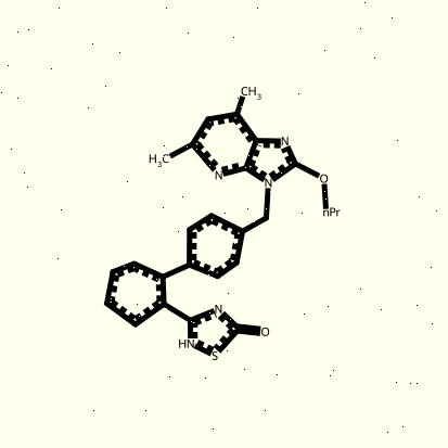 CCCOc1nc2c(C)cc(C)nc2n1Cc1ccc(-c2ccccc2-c2nc(=O)s[nH]2)cc1